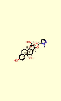 Cn1nccc1[C@@H]1O[C@@H]2C[C@H]3[C@@H]4CCC5=CC(O)C=C[C@]5(C)[C@H]4[C@@H](O)C[C@]3(C)[C@]2(C(=O)CO)O1